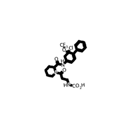 O=C(O)NCCC(=O)N1CCCCC1C(=O)NC1=CC=C(c2ccccc2)C(Cl)(OC(F)(F)F)C1